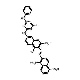 O=S(=O)(O)c1cc2cc(Nc3nc(Cl)nc(Nc4ccccc4)n3)ccc2c(O)c1N=Nc1ccc2c(S(=O)(=O)O)cccc2c1S(=O)(=O)O